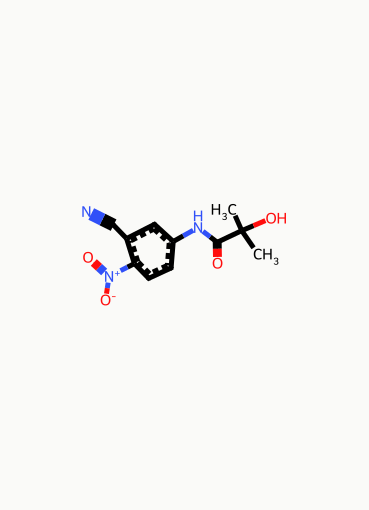 CC(C)(O)C(=O)Nc1ccc([N+](=O)[O-])c(C#N)c1